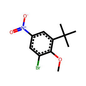 COc1c(Br)cc([N+](=O)[O-])cc1C(C)(C)C